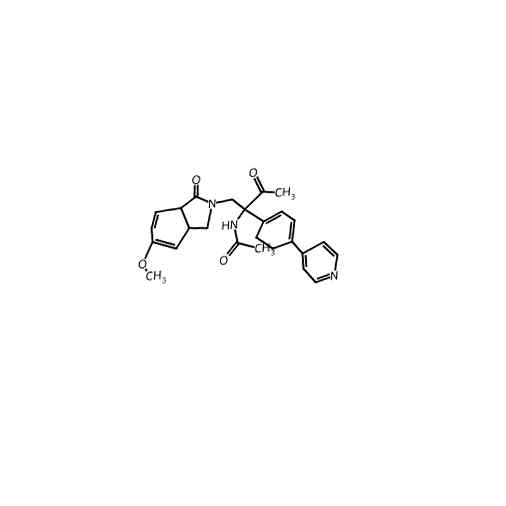 COC1=CC2CN(CC(NC(C)=O)(C(C)=O)C3=CC=C(c4ccncc4)CC3)C(=O)C2C=C1